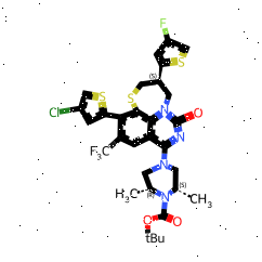 C[C@@H]1CN(c2nc(=O)n3c4c(c(-c5cc(Cl)cs5)c(C(F)(F)F)cc24)SC[C@@H](c2cc(F)cs2)C3)C[C@H](C)N1C(=O)OC(C)(C)C